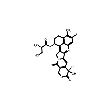 CC[C@@]1(O)C(=O)OCc2c1cc1n(c2=O)Cc2c-1nc1cc(F)c(C)c3c1c2[C@@H](NC(=O)[C@H](C)CO)CC3